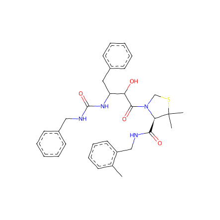 Cc1ccccc1CNC(=O)[C@H]1N(C(=O)C(O)C(Cc2ccccc2)NC(=O)NCc2ccccc2)CSC1(C)C